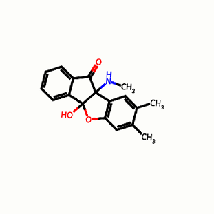 CNC12C(=O)c3ccccc3C1(O)Oc1cc(C)c(C)cc12